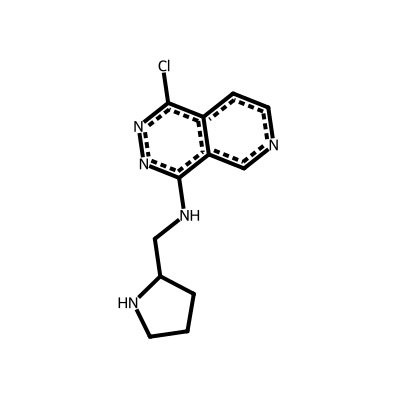 Clc1nnc(NCC2CCCN2)c2cnccc12